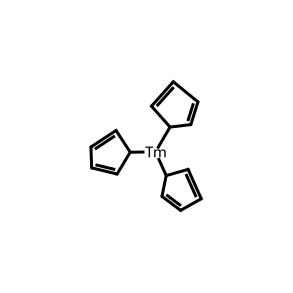 C1=C[CH]([Tm]([CH]2C=CC=C2)[CH]2C=CC=C2)C=C1